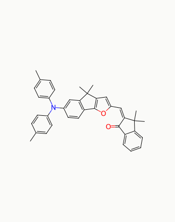 Cc1ccc(N(c2ccc(C)cc2)c2ccc3c(c2)C(C)(C)c2cc(/C=C4\C(=O)c5ccccc5C4(C)C)oc2-3)cc1